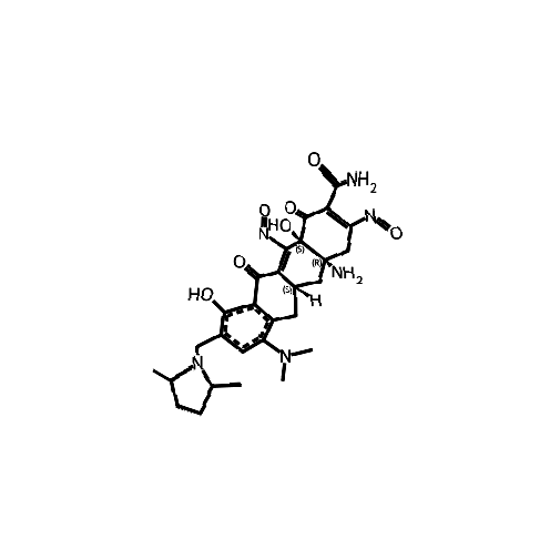 CC1CCC(C)N1Cc1cc(N(C)C)c2c(c1O)C(=O)C1=C(N=O)[C@]3(O)C(=O)C(C(N)=O)=C(N=O)C[C@]3(N)C[C@@H]1C2